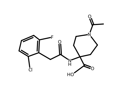 CC(=O)N1CCC(NC(=O)Cc2c(F)cccc2Cl)(C(=O)O)CC1